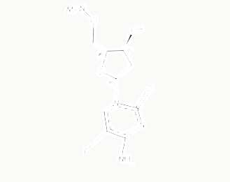 CNOC[C@H]1O[C@@H](n2cc(I)c(N)nc2=O)C[C@@H]1O